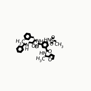 CCS(=O)(=O)Nc1cc(C(=O)NC(C)c2ccco2)cc(C(=O)N[C@@H](Cc2ccccc2)[C@H](O)CN[C@@H](C)c2ccccc2)c1